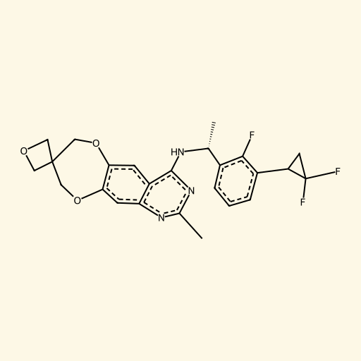 Cc1nc(N[C@H](C)c2cccc(C3CC3(F)F)c2F)c2cc3c(cc2n1)OCC1(COC1)CO3